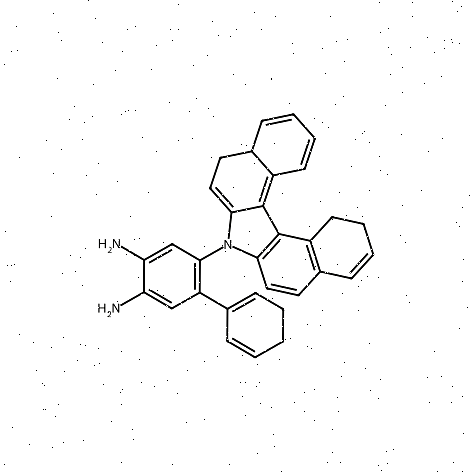 Nc1cc(C2=CCCC=C2)c(-n2c3c(c4c5c(ccc42)C=CCC5)=C2C=CC=CC2CC=3)cc1N